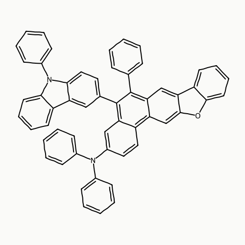 c1ccc(-c2c(-c3ccc4c(c3)c3ccccc3n4-c3ccccc3)c3cc(N(c4ccccc4)c4ccccc4)ccc3c3cc4oc5ccccc5c4cc23)cc1